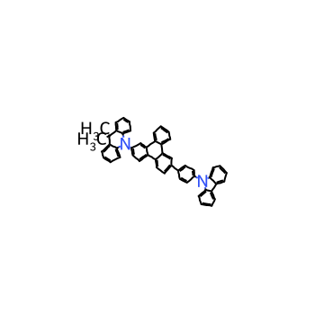 CC1(C)c2ccccc2N(c2ccc3c4ccc(-c5ccc(-n6c7ccccc7c7ccccc76)cc5)cc4c4ccccc4c3c2)c2ccccc21